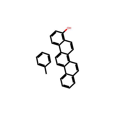 Cc1ccccc1.Oc1cccc2c1ccc1c2ccc2c3ccccc3ccc21